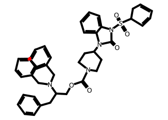 O=C(OCC(Cc1ccccc1)N(Cc1ccccc1)Cc1ccccc1)N1CCC(n2c(=O)n(S(=O)(=O)C3C=CC=CC3)c3ccccc32)CC1